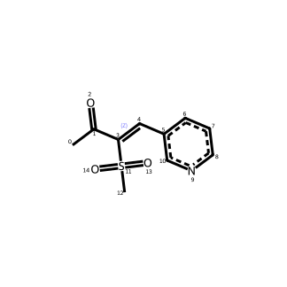 CC(=O)/C(=C/c1cccnc1)S(C)(=O)=O